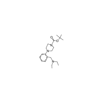 CCN(CC)Cc1ccccc1N1CCN(C(=O)OC(C)(C)C)CC1